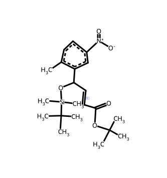 Cc1ccc([N+](=O)[O-])cc1C(/C=C/C(=O)OC(C)(C)C)O[Si](C)(C)C(C)(C)C